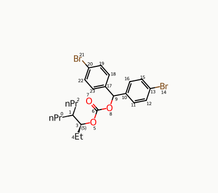 CCCC(CCC)[C@H](CC)OC(=O)OC(c1ccc(Br)cc1)c1ccc(Br)cc1